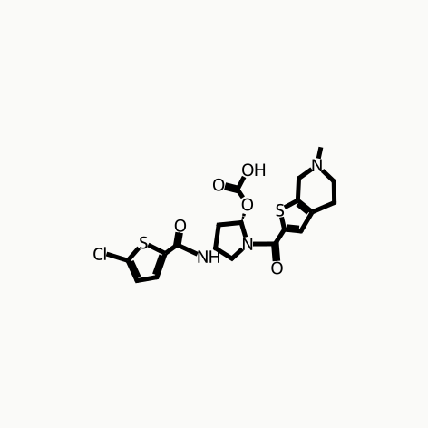 CN1CCc2cc(C(=O)N3C[C@H](NC(=O)c4ccc(Cl)s4)C[C@@H]3OC(=O)O)sc2C1